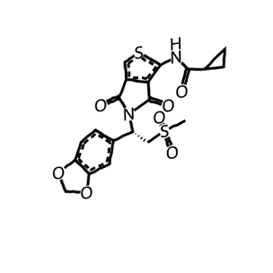 CS(=O)(=O)C[C@H](c1ccc2c(c1)OCO2)N1C(=O)c2csc(NC(=O)C3CC3)c2C1=O